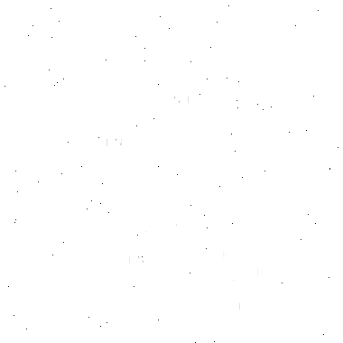 O=C(CNC1CCCCC1)Nc1cccc(C(=O)Nc2cccc(C(F)(F)F)c2)c1